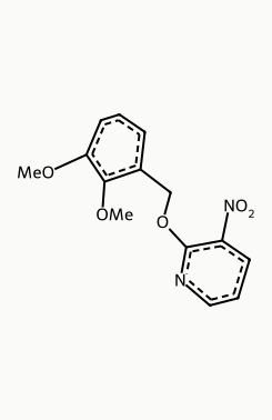 COc1cccc(COc2ncccc2[N+](=O)[O-])c1OC